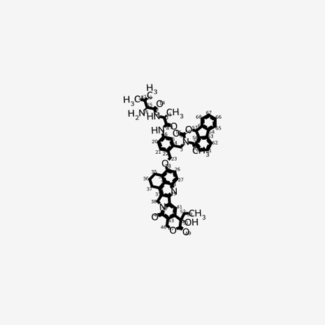 CCN(Cc1cc(NC(=O)[C@H](C)NC(=O)[C@@H](N)C(C)C)ccc1COc1ccc2nc3c(c4c2c1CCC4)Cn1c-3cc2c(c1=O)COC(=O)[C@]2(O)CC)C(=O)OC1c2ccccc2-c2ccccc21